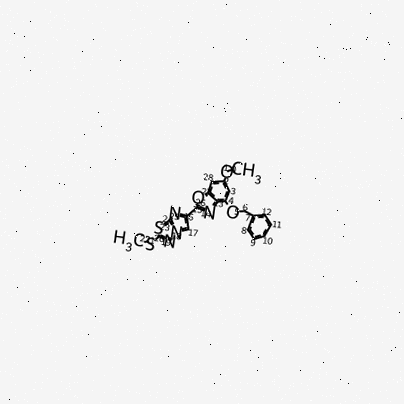 COc1cc(OCc2ccccc2)c2nc(-c3cn4nc(SC)sc4n3)oc2c1